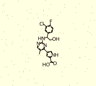 Cc1cnc(NC(CO)c2ccc(F)c(Cl)c2)nc1-c1c[nH]c(C(=O)O)c1